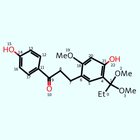 CCC(OC)(OC)c1cc(CCC(=O)c2ccc(O)cc2)c(OC)cc1O